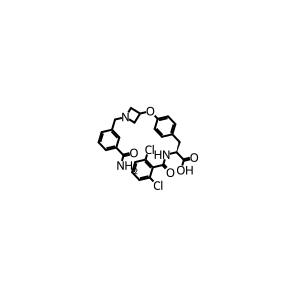 NC(=O)c1cccc(CN2CC(Oc3ccc(C[C@H](NC(=O)c4c(Cl)cccc4Cl)C(=O)O)cc3)C2)c1